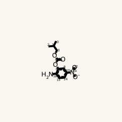 CC(C)COC(=O)Oc1cc([N+](=O)[O-])ccc1N